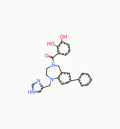 O=C(c1cccc(O)c1O)N1CCN(Cc2c[nH]cn2)c2ccc(-c3ccccc3)cc2C1